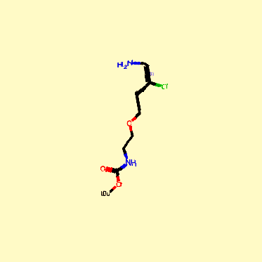 CC(C)(C)OC(=O)NCCOCC/C(Cl)=C\N